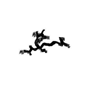 C[C@@H](O)[C@H](N)C(=O)O.C[C@H](N)C(=O)OC(=O)[C@@H](N)CCCNC(=N)N